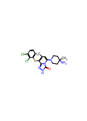 Cc1cc(N2CCC(C)(N)CC2)n2c(=O)[nH]nc2c1Sc1cccc(Cl)c1Cl